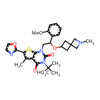 COc1ccccc1C(Cn1c(=O)n(C(C)(C)C(=O)O)c(=O)c2c(C)c(-c3ncco3)sc21)OC1CC2(C1)CN(C)C2